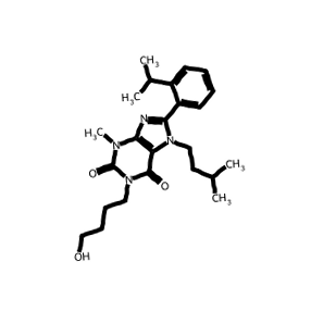 CC(C)CCn1c(-c2ccccc2C(C)C)nc2c1c(=O)n(CCCCO)c(=O)n2C